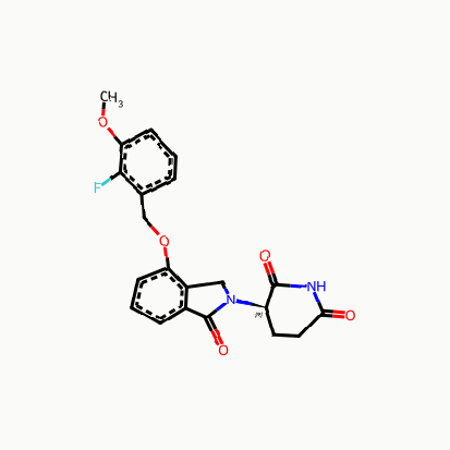 COc1cccc(COc2cccc3c2CN([C@@H]2CCC(=O)NC2=O)C3=O)c1F